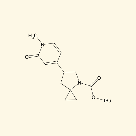 Cn1ccc(C2CN(C(=O)OC(C)(C)C)C3(CC3)C2)cc1=O